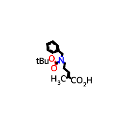 CC(=CCCN(Cc1ccccc1)C(=O)OC(C)(C)C)C(=O)O